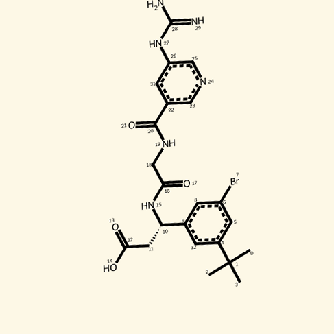 CC(C)(C)c1cc(Br)cc([C@H](CC(=O)O)NC(=O)CNC(=O)c2cncc(NC(=N)N)c2)c1